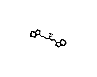 [Zr][CH](CCCC1C=Cc2ccccc21)CCC1C=Cc2ccccc21